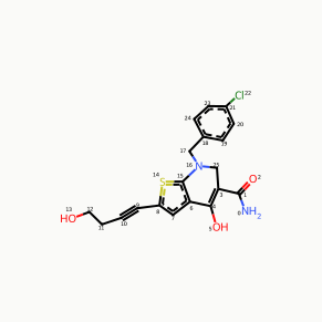 NC(=O)C1=C(O)c2cc(C#CCCO)sc2N(Cc2ccc(Cl)cc2)C1